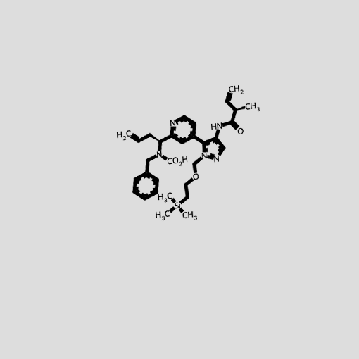 C=CC[C@@H](c1cc(-c2c(NC(=O)[C@H](C)C=C)cnn2COCC[Si](C)(C)C)ccn1)N(Cc1ccccc1)C(=O)O